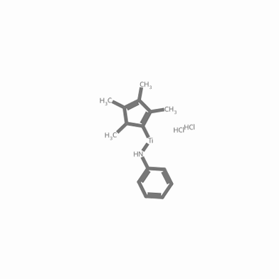 CC1=C(C)C(C)[C]([Ti][NH]c2ccccc2)=C1C.Cl.Cl